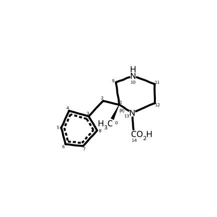 C[C@@]1(Cc2ccccc2)CNCCN1C(=O)O